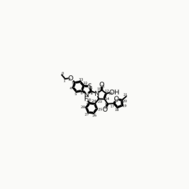 CCOc1ccc2nc(N3C(=O)C(O)=C(C(=O)c4ccc(C)o4)C3c3ccccc3F)sc2c1